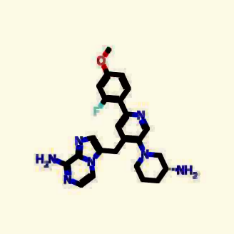 COc1ccc(-c2cc(Cc3cnc4c(N)nccn34)c(N3CCC[C@@H](N)C3)cn2)c(F)c1